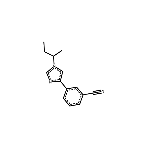 CCC(C)n1cnc(-c2cccc(C#N)c2)c1